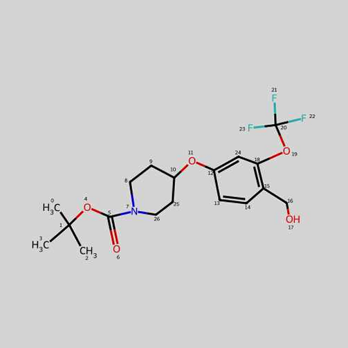 CC(C)(C)OC(=O)N1CCC(Oc2ccc(CO)c(OC(F)(F)F)c2)CC1